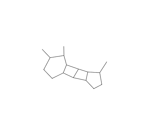 CC1CCC2C(C1C)C1C3C(C)CCC3C21